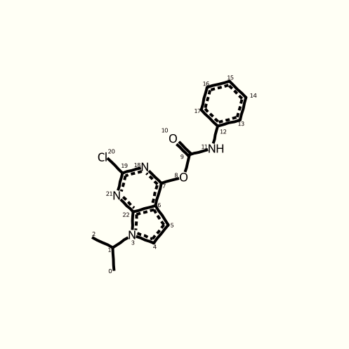 CC(C)n1ccc2c(OC(=O)Nc3ccccc3)nc(Cl)nc21